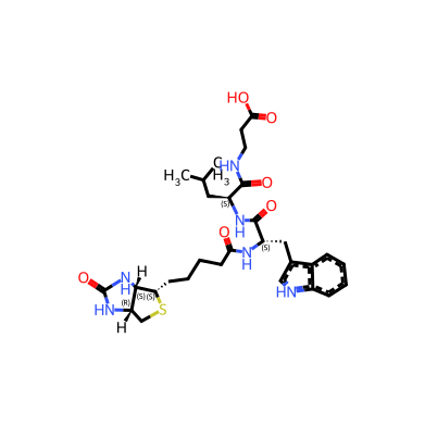 CC(C)C[C@H](NC(=O)[C@H](Cc1c[nH]c2ccccc12)NC(=O)CCCC[C@@H]1SC[C@@H]2NC(=O)N[C@@H]21)C(=O)NCCC(=O)O